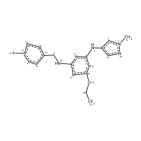 Cn1cc(Nc2nc(NCc3ccc(F)cc3)nc(OCC(F)(F)F)n2)cn1